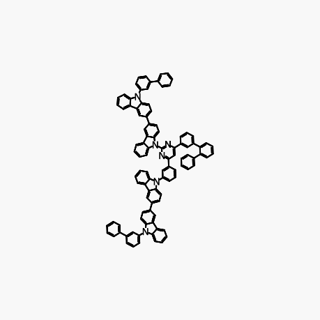 c1ccc(-c2cccc(-n3c4ccccc4c4cc(-c5ccc6c(c5)c5ccccc5n6-c5cccc(-c6cc(-c7cccc(-c8ccccc8-c8ccccc8)c7)nc(-n7c8ccccc8c8cc(-c9ccc%10c(c9)c9ccccc9n%10-c9cccc(-c%10ccccc%10)c9)ccc87)n6)c5)ccc43)c2)cc1